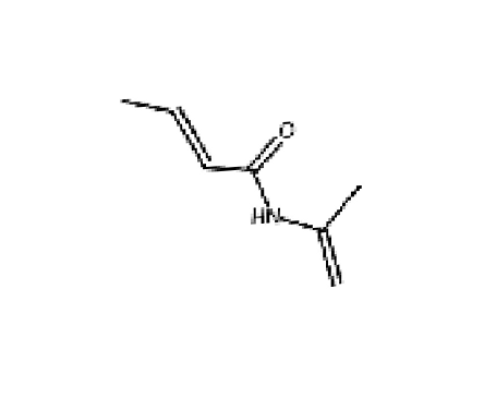 C=C(C)NC(=O)C=CC